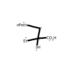 CCCCCCC(S)(CC)C(=O)O